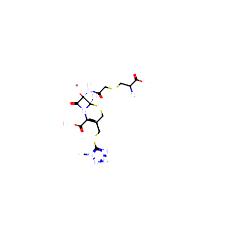 CO[C@@]1(NC(=O)CSCC(N)C(=O)O)C(=O)N2C(C(=O)O)=C(CSc3nnnn3C)CS[C@H]21